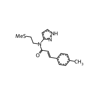 CSCCN(C(=O)/C=C/c1ccc(C)cc1)c1cc[nH]n1